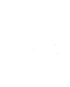 COc1cc2c(cc1OC)C1(NCC2)C(=O)N(CC(=O)Nc2ccccc2)c2c(Br)cc(Br)cc21